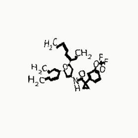 C=C/C=C\C=C(/C=C)[C@@H]1C[C@H](NC(=O)C2(c3ccc4c(c3)OC(F)(F)O4)CC2)C[C@H](C(/C=C\C=C)=C/C=C)O1